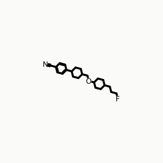 N#Cc1ccc(C2CCC(COC3CCC(CCCF)CC3)CC2)cc1